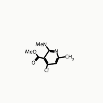 CNc1nc(C)cc(Cl)c1C(=O)OC